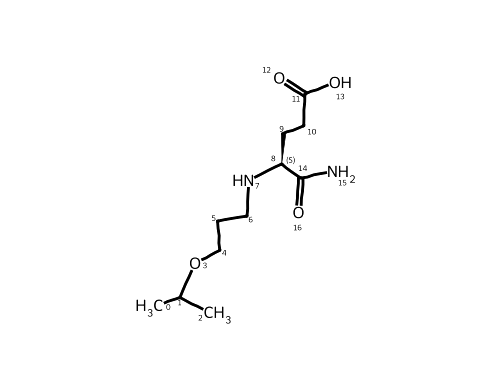 CC(C)OCCCN[C@@H](CCC(=O)O)C(N)=O